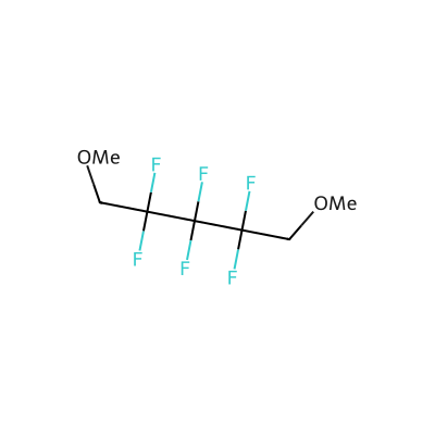 COCC(F)(F)C(F)(F)C(F)(F)COC